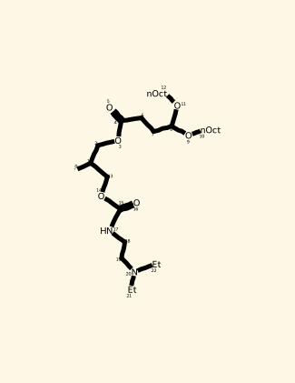 [CH2]C(COC(=O)CCC(OCCCCCCCC)OCCCCCCCC)COC(=O)NCCN(CC)CC